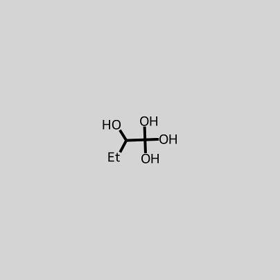 CCC(O)C(O)(O)O